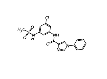 CS(=O)(=O)Nc1cc(Cl)cc(NC(=O)c2cn(-c3ccccc3)cn2)c1